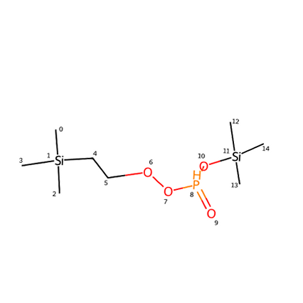 C[Si](C)(C)CCOO[PH](=O)O[Si](C)(C)C